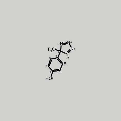 Oc1ccc(C2(C(F)(F)F)N=NN=N2)cc1